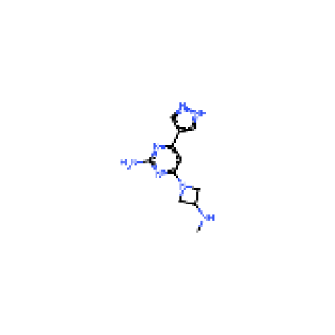 CNC1CN(c2cc(-c3cn[nH]c3)nc(N)n2)C1